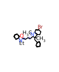 CCN1/C(=C/C=C/C2=[N+](C)C3=C(CCC(Br)=C3)C2(C)Cc2ccccc2)Oc2ccccc21